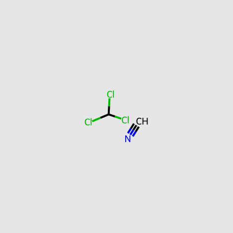 C#N.ClC(Cl)Cl